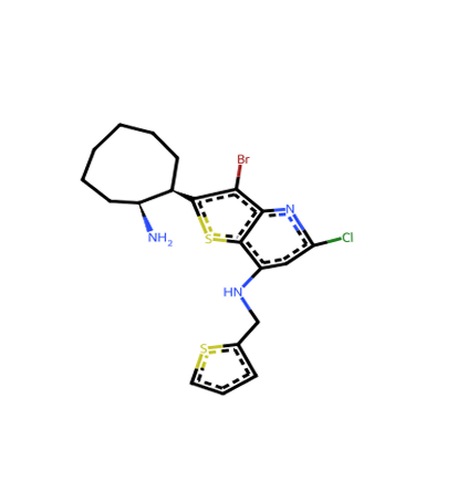 N[C@H]1CCCCCC[C@H]1c1sc2c(NCc3cccs3)cc(Cl)nc2c1Br